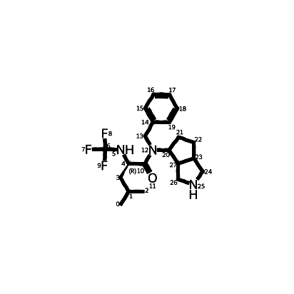 CC(C)C[C@@H](NC(F)(F)F)C(=O)N(Cc1ccccc1)C1CCC2CNCC21